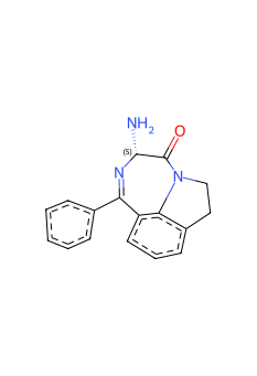 N[C@H]1N=C(c2ccccc2)c2cccc3c2N(CC3)C1=O